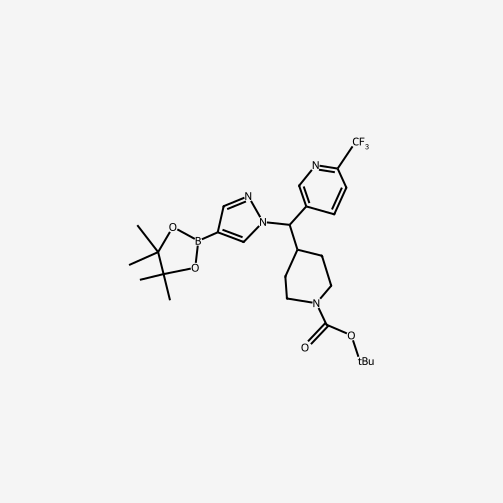 CC(C)(C)OC(=O)N1CCC(C(c2ccc(C(F)(F)F)nc2)n2cc(B3OC(C)(C)C(C)(C)O3)cn2)CC1